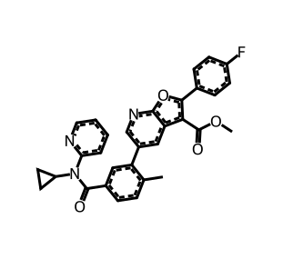 COC(=O)c1c(-c2ccc(F)cc2)oc2ncc(-c3cc(C(=O)N(c4ccccn4)C4CC4)ccc3C)cc12